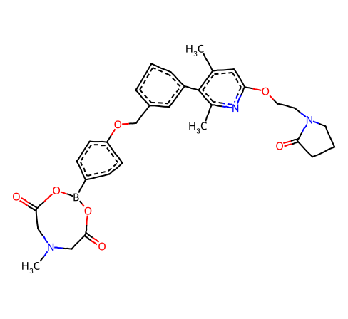 Cc1cc(OCCN2CCCC2=O)nc(C)c1-c1cccc(COc2ccc(B3OC(=O)CN(C)CC(=O)O3)cc2)c1